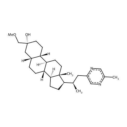 COC[C@@]1(O)CC[C@H]2[C@H](CC[C@@H]3[C@@H]2CC[C@]2(C)[C@@H]([C@H](C)Cc4cnc(C)cn4)CC[C@@H]32)C1